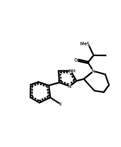 CSC(C)C(=O)N1CCCCC1c1nc(-c2ccccc2F)c[nH]1